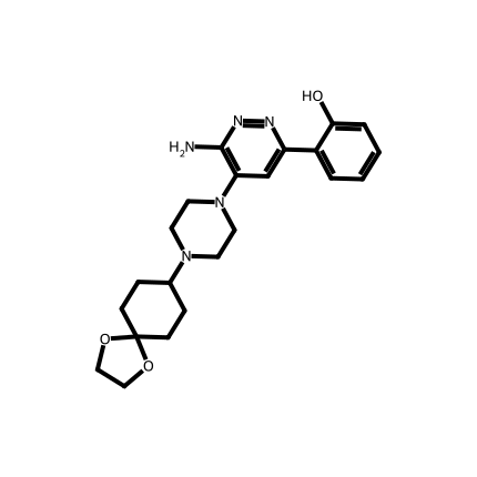 Nc1nnc(-c2ccccc2O)cc1N1CCN(C2CCC3(CC2)OCCO3)CC1